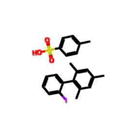 Cc1cc(C)c(-c2ccccc2I)c(C)c1.Cc1ccc(S(=O)(=O)O)cc1